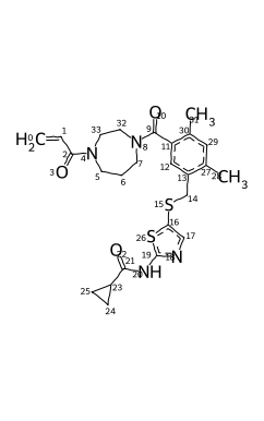 C=CC(=O)N1CCCN(C(=O)c2cc(CSc3cnc(NC(=O)C4CC4)s3)c(C)cc2C)CC1